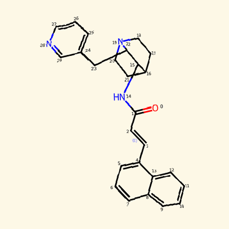 O=C(/C=C/c1cccc2ccccc12)NC1C2CCN(CC2)C1Cc1cccnc1